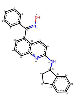 ON=C(c1ccccc1)c1cccc2nc(N[C@@H]3CCc4ccccc43)ccc12